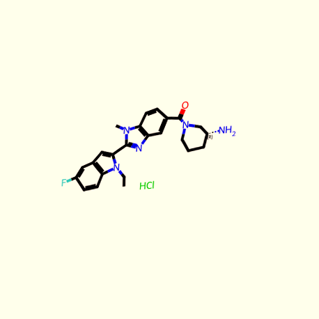 CCn1c(-c2nc3cc(C(=O)N4CCC[C@@H](N)C4)ccc3n2C)cc2cc(F)ccc21.Cl